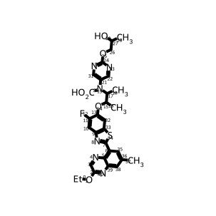 CCOc1cnc2c(-c3nc4cc(F)c(OC(C)C(C)N(C(=O)O)c5cnc(OCC(C)O)nc5)cc4s3)cc(C)cc2n1